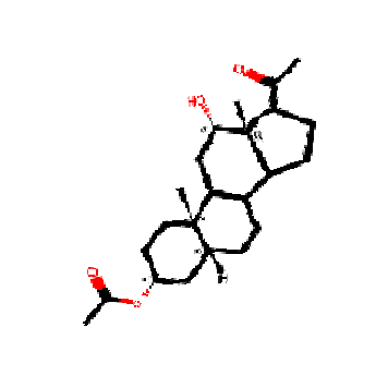 CC(=O)O[C@@H]1CC[C@]2(C)C3C[C@H](O)[C@]4(C)C(C(C)=O)CCC4C3CC[C@@H]2C1